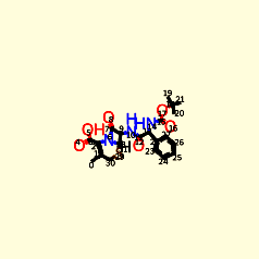 CC1=C(C(=O)O)N2C(=O)C(NC(=O)C(NC(=O)OC(C)(C)C)c3ccccc3)[C@@H]2SC1